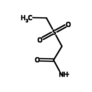 CCS(=O)(=O)CC([NH])=O